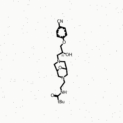 CC(C)(C)C(=O)NCCN1CC2CN(C[C@H](O)COc3ccc(C#N)cc3)CC(C1)O2